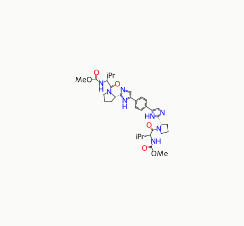 COC(=O)NC(C(=O)N1CCC[C@H]1c1ncc(-c2ccc(-c3cnc([C@@H]4CCCN4C(=O)[C@@H](NC(=O)OC)C(C)C)[nH]3)cc2)[nH]1)C(C)C